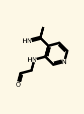 CC(=N)c1ccncc1NCC=O